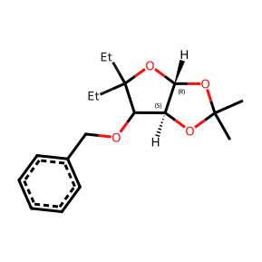 CCC1(CC)O[C@@H]2OC(C)(C)O[C@H]2C1OCc1ccccc1